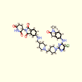 CN1C(=O)Cc2cc(Nc3nc(N4CCC(CN5CCC(CNc6ccc7c(c6)C(=O)N(C6CCC(=O)NC6=O)C7=O)CC5)CC4)ncc3Cl)ccc21